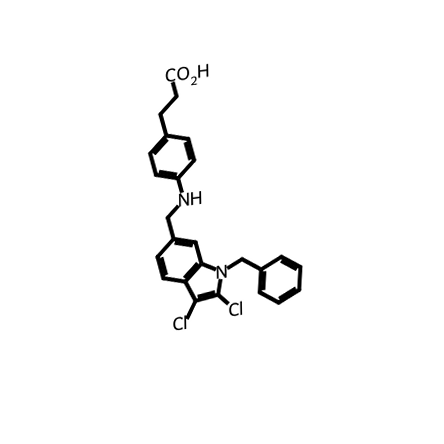 O=C(O)CCc1ccc(NCc2ccc3c(Cl)c(Cl)n(Cc4ccccc4)c3c2)cc1